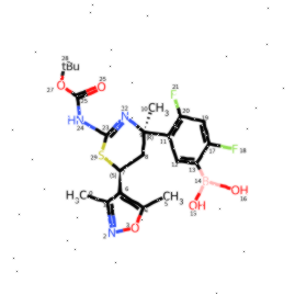 Cc1noc(C)c1[C@@H]1C[C@](C)(c2cc(B(O)O)c(F)cc2F)N=C(NC(=O)OC(C)(C)C)S1